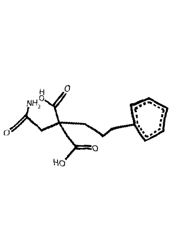 NC(=O)CC(CCc1ccccc1)(C(=O)O)C(=O)O